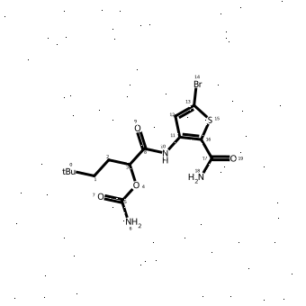 CC(C)(C)CCC(OC(N)=O)C(=O)Nc1cc(Br)sc1C(N)=O